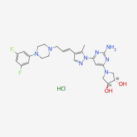 Cc1c(C=CCN2CCN(c3cc(F)cc(F)c3)CC2)cnn1-c1cc(N2C[C@H](O)[C@@H](O)C2)nc(N)n1.Cl